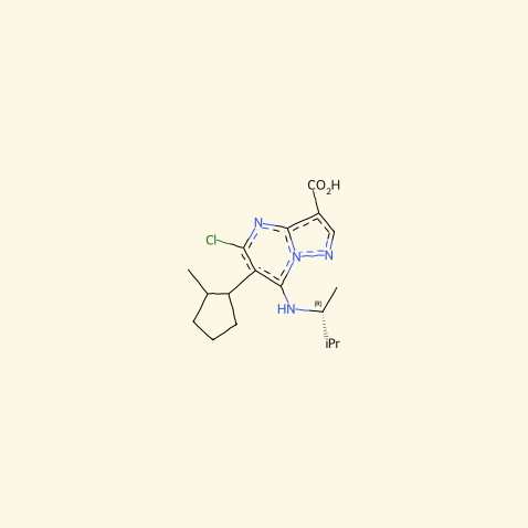 CC1CCCC1c1c(Cl)nc2c(C(=O)O)cnn2c1N[C@H](C)C(C)C